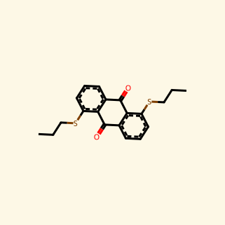 CCCSc1cccc2c1C(=O)c1cccc(SCCC)c1C2=O